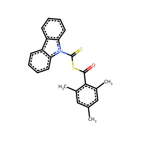 Cc1cc(C)c(C(=O)SC(=S)n2c3ccccc3c3ccccc32)c(C)c1